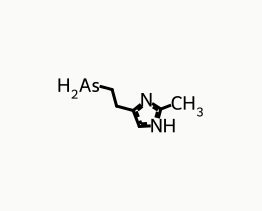 Cc1nc(CC[AsH2])c[nH]1